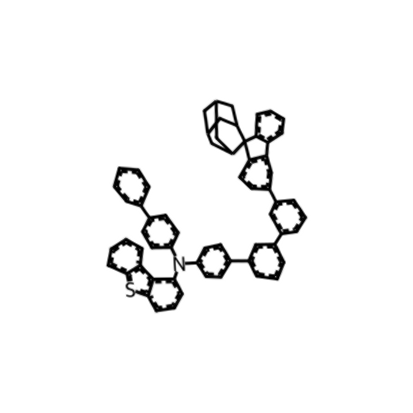 c1ccc(-c2ccc(N(c3ccc(-c4cccc(-c5cccc(-c6ccc7c(c6)-c6ccccc6C76C7CC8CC(C7)CC6C8)c5)c4)cc3)c3cccc4sc5ccccc5c34)cc2)cc1